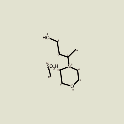 CC(CCO)N1CCOCC1.CS(=O)(=O)O